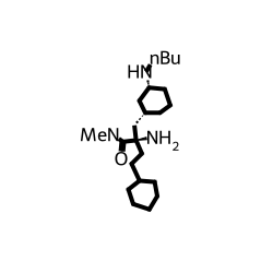 CCCCN[C@@H]1CCC[C@H](C[C@](N)(CCC2CCCCC2)C(=O)NC)C1